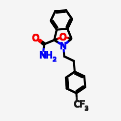 NC(=O)C12OC(c3ccccc31)N2CCc1ccc(C(F)(F)F)cc1